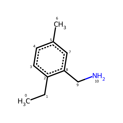 CCc1ccc(C)cc1CN